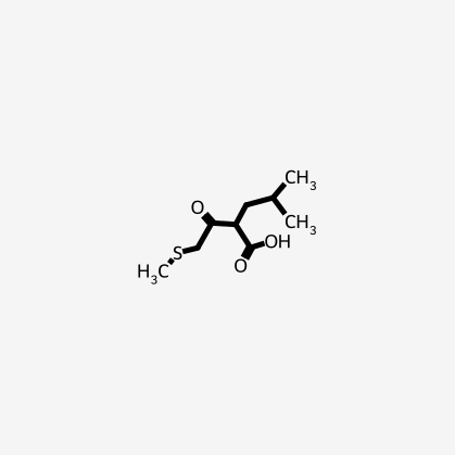 CSCC(=O)C(CC(C)C)C(=O)O